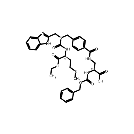 CCOC(=O)[C@H](CCSC)NC(=O)N(Cc1ccc(C(=O)NC[C@H](NC(=O)OCc2ccccc2)C(=O)O)cc1)Cc1nc2ccccc2[nH]1